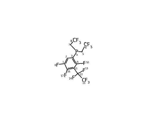 Fc1cc(P(CC(F)(F)F)CC(F)(F)F)c(F)c(C(F)(F)C(F)(F)F)c1F